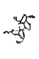 CNc1nc(N)nc2c1ncn2[C@@H]1O[C@H](CO)[C@@H](OC(=O)OC(C)(C)C)[C@@]1(C)F